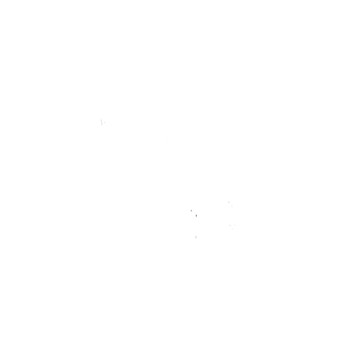 O=NC(CCCc1ccc(O)cc1)N=O